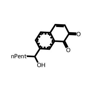 CCCCCC(O)c1ccc2c(c1)C(=O)C(=O)C=C2